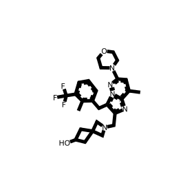 Cc1c(Cc2c(CN3CC4(CC(O)C4)C3)nc3c(C)cc(N4CCOCC4)nn23)cccc1C(F)(F)F